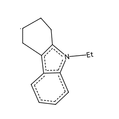 CCn1c2c(c3ccccc31)C[CH]CC2